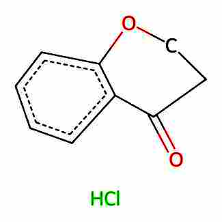 Cl.O=C1CCOc2ccccc21